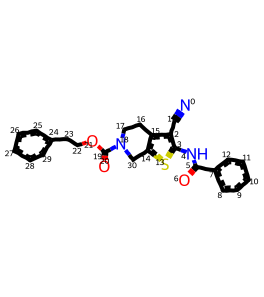 N#Cc1c(NC(=O)c2ccccc2)sc2c1CCN(C(=O)OCCc1ccccc1)C2